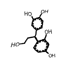 OCCC(c1ccc(O)c(O)c1)c1ccc(O)cc1O